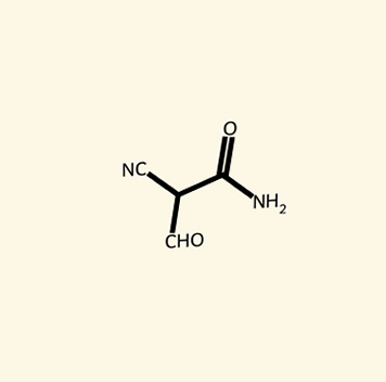 N#CC(C=O)C(N)=O